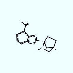 CN1C[C@H]2CC[C@]1(c1nc3c(C(N)=O)cccc3o1)C2